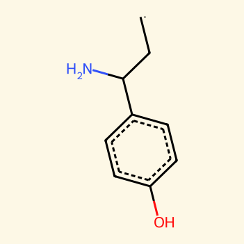 [CH2]CC(N)c1ccc(O)cc1